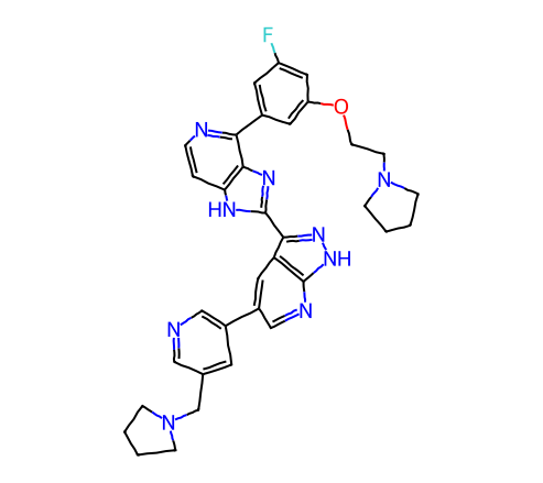 Fc1cc(OCCN2CCCC2)cc(-c2nccc3[nH]c(-c4n[nH]c5ncc(-c6cncc(CN7CCCC7)c6)cc45)nc23)c1